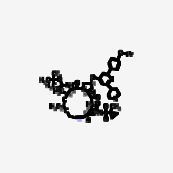 CC(C)Oc1ccc(-c2cc(O[C@@H]3C[C@H]4C(=O)N[C@]5(C(=O)NS(=O)(=O)C6(C)CC6)C[C@H]5/C=C\CC[C@H](C)C[C@@H](C)[C@H](NC(=O)OC(C)(C)C(F)(F)F)C(=O)N4C3)cc(-c3ccncc3)n2)cc1